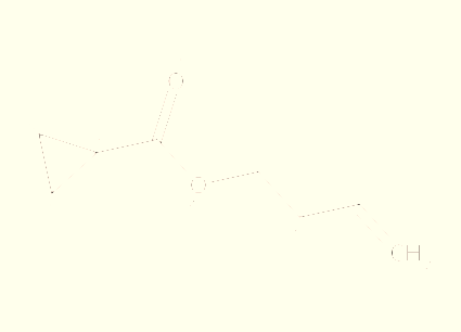 C=CCCOC(=O)C1CC1